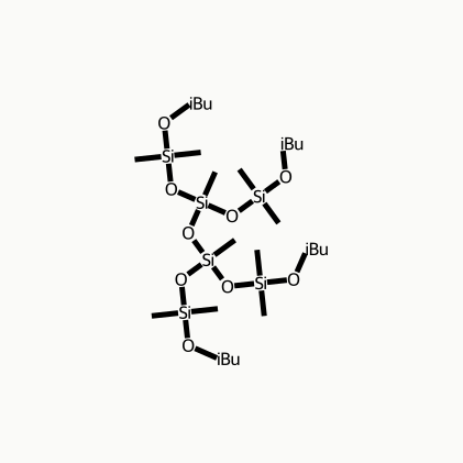 CCC(C)O[Si](C)(C)O[Si](C)(O[Si](C)(C)OC(C)CC)O[Si](C)(O[Si](C)(C)OC(C)CC)O[Si](C)(C)OC(C)CC